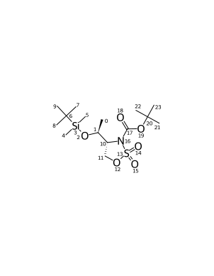 C[C@H](O[Si](C)(C)C(C)(C)C)[C@H]1COS(=O)(=O)N1C(=O)OC(C)(C)C